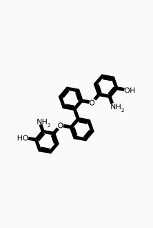 Nc1c(O)cccc1Oc1ccccc1-c1ccccc1Oc1cccc(O)c1N